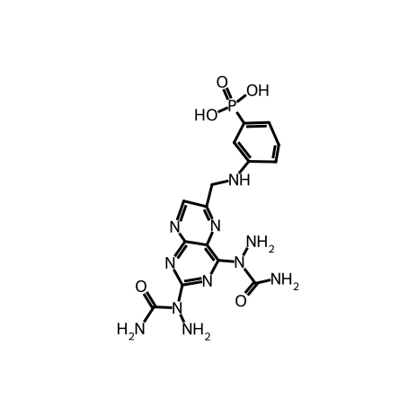 NC(=O)N(N)c1nc(N(N)C(N)=O)c2nc(CNc3cccc(P(=O)(O)O)c3)cnc2n1